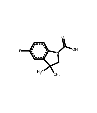 CC1(C)CN(C(=O)O)c2ccc(F)cc21